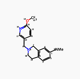 CNc1ccc2c(c1)CN(Cc1ccc(OC(F)(F)F)nc1)CC2